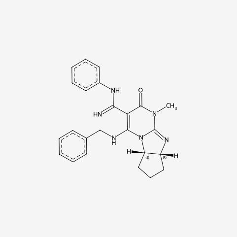 CN1C(=O)C(C(=N)Nc2ccccc2)=C(NCc2ccccc2)N2C1=N[C@@H]1CCC[C@@H]12